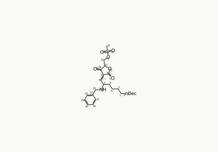 CCCCCCCCCCCCCCC(/C=C1\C(=O)OC(COS(C)(=O)=O)C1=O)NCc1ccccc1